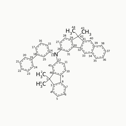 CC1(C)c2ccccc2-c2ccc(N(c3cccc(-c4ccccc4)c3)c3ccc4c(c3)-c3cc5ccccc5cc3C4(C)C)cc21